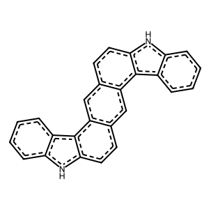 c1ccc2c(c1)[nH]c1ccc3cc4c(ccc5[nH]c6ccccc6c54)cc3c12